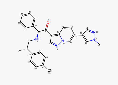 C[C@H](CN[C@H](C(=O)c1cnn2cc(-c3cnn(C)c3)ccc12)c1ccccc1)c1ccc(C#N)cc1